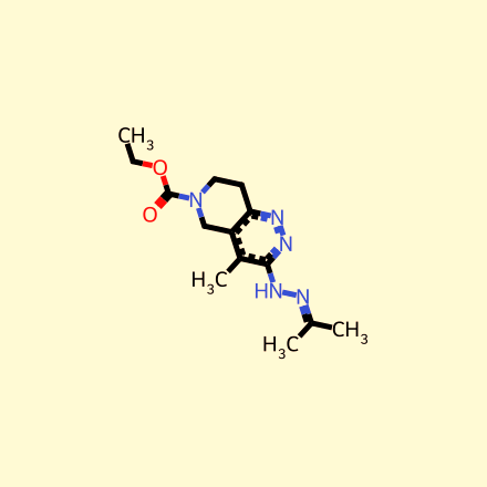 CCOC(=O)N1CCc2nnc(NN=C(C)C)c(C)c2C1